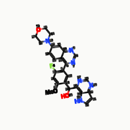 COc1cc(F)c(-c2ncnc3cc(N4CCOCC4)ccc23)cc1C(O)c1ncnc2cc[nH]c12